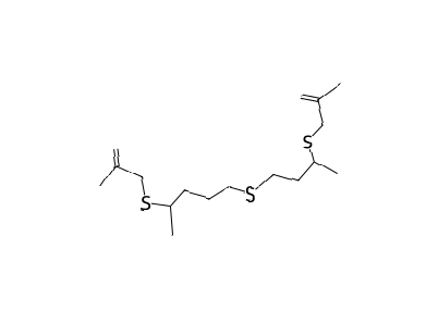 C=C(C)CSC(C)CCCSCCC(C)SCC(=C)C